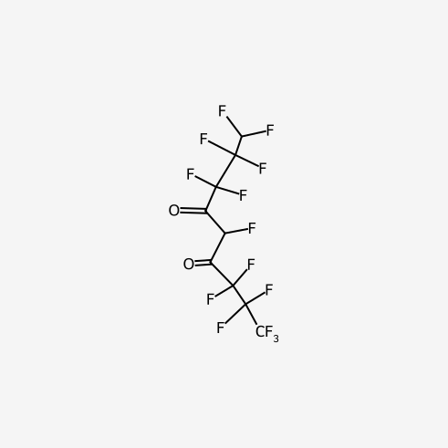 O=C(C(F)C(=O)C(F)(F)C(F)(F)C(F)(F)F)C(F)(F)C(F)(F)C(F)F